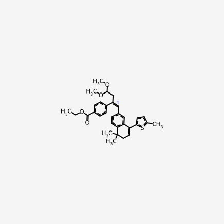 CCOC(=O)c1ccc(/C(=C\c2ccc3c(c2)C(c2ccc(C)s2)=CCC3(C)C)CC(OC)OC)cc1